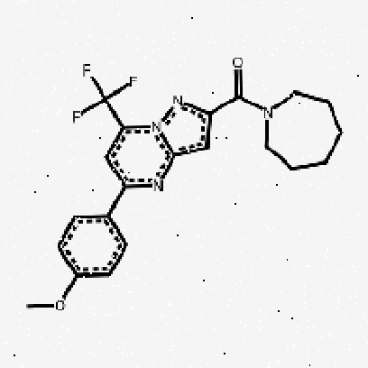 COc1ccc(-c2cc(C(F)(F)F)n3nc(C(=O)N4CCCCCC4)cc3n2)cc1